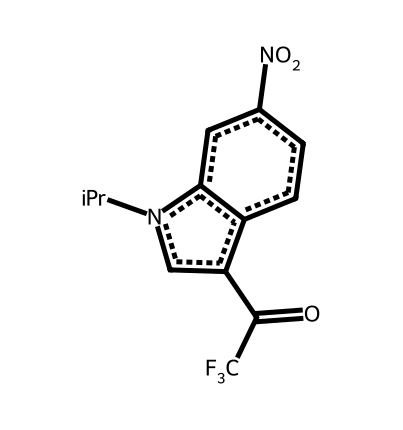 CC(C)n1cc(C(=O)C(F)(F)F)c2ccc([N+](=O)[O-])cc21